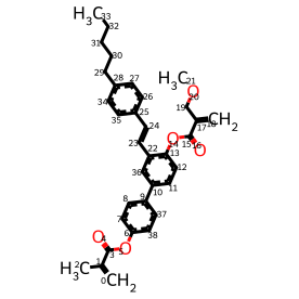 C=C(C)C(=O)Oc1ccc(-c2ccc(OC(=O)C(=C)COC)c(/C=C/c3ccc(CCCCC)cc3)c2)cc1